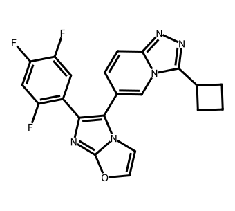 Fc1cc(F)c(-c2nc3occn3c2-c2ccc3nnc(C4CCC4)n3c2)cc1F